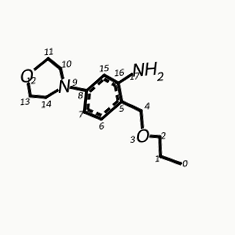 CCCOCc1ccc(N2CCOCC2)cc1N